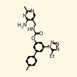 CCc1nnnn1-c1cc(OC(=O)NCc2cnc(C)nc2N)cc(-c2ccc(C)cc2)c1